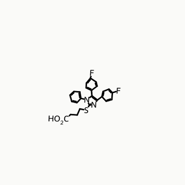 O=C(O)CCCSc1nc(-c2ccc(F)cc2)c(-c2ccc(F)cc2)n1-c1ccccc1